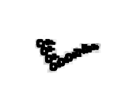 [Cr+3].[Fe+3].[O-2].[O-2].[O-2].[O-2].[O-2].[Ti+4]